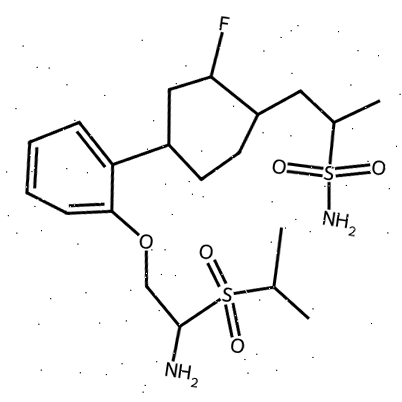 CC(CC1CCC(c2ccccc2OCC(N)S(=O)(=O)C(C)C)CC1F)S(N)(=O)=O